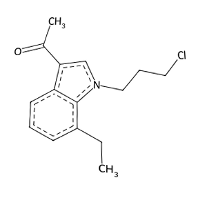 CCc1cccc2c(C(C)=O)cn(CCCCl)c12